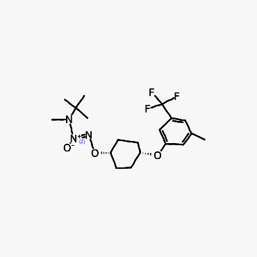 Cc1cc(O[C@H]2CC[C@@H](O/N=[N+](\[O-])N(C)C(C)(C)C)CC2)cc(C(F)(F)F)c1